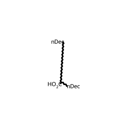 CCCCCCCCCCCCCCCCCCCCCCCCCCCCCCCCCCC(CCCCCCCCCCCCCC)C(=O)O